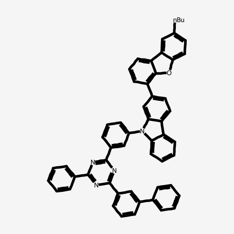 CCCCc1ccc2oc3c(-c4ccc5c6ccccc6n(-c6cccc(-c7nc(-c8ccccc8)nc(-c8cccc(-c9ccccc9)c8)n7)c6)c5c4)cccc3c2c1